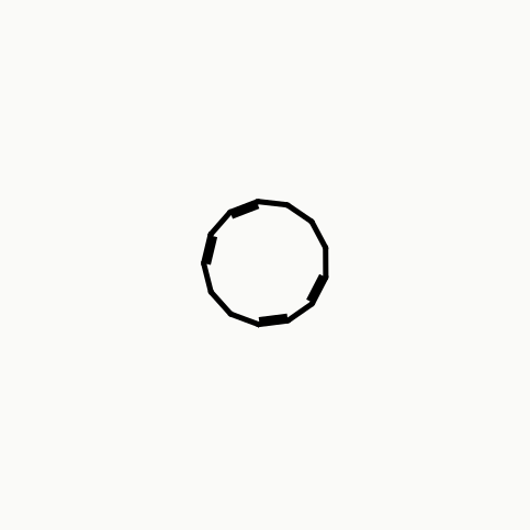 [C]1=CC=CCCCC=CC=CCC1